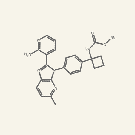 Cc1ccc2nc(-c3cccnc3N)n(-c3ccc(C4(NC(=O)OC(C)(C)C)CCC4)cc3)c2n1